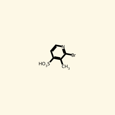 Cc1c(S(=O)(=O)O)ccnc1Br